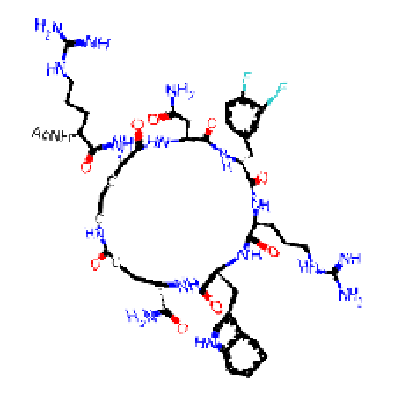 CC(=O)N[C@@H](CCCNC(=N)N)C(=O)N[C@H]1CCCNC(=O)CC[C@@H](C(N)=O)NC(=O)[C@H](Cc2c[nH]c3ccccc23)NC(=O)[C@H](CCCNC(=N)N)NC(=O)[C@@H](Cc2ccc(F)c(F)c2)NC(=O)[C@H](CC(N)=O)NC1=O